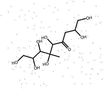 CC(O)(C(O)C(=O)CC(O)CO)C(O)C(O)CO